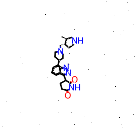 C[C@H]1CNCC[C@@H]1CN1CCC(c2cccc3c(C4CCC(=O)NC4=O)nn(C)c23)CC1